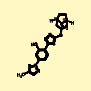 Cc1cnn(-c2ccc(-c3nnc(OC4C[C@H]5C=C[C@@H](C4)N5C)s3)c(O)c2)n1